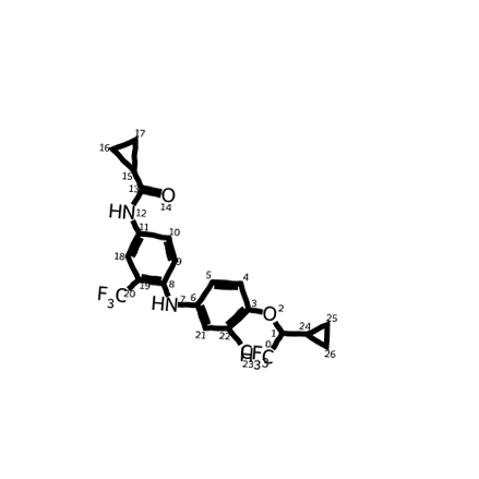 CC(Oc1ccc(Nc2ccc(NC(=O)C3CC3)cc2C(F)(F)F)cc1C(F)(F)F)C1CC1